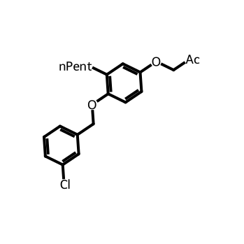 CCCCCc1cc(OCC(C)=O)ccc1OCc1cccc(Cl)c1